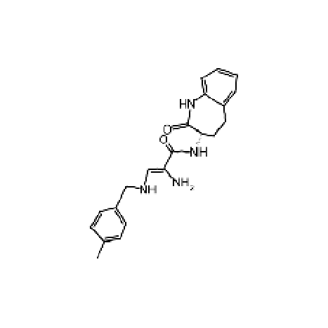 Cc1ccc(CN/C=C(\N)C(=O)N[C@H]2CCc3ccccc3NC2=O)cc1